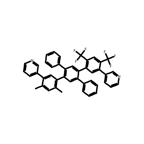 Cc1cc(C)c(-c2cc(-c3ccccc3)c(-c3cc(-c4cccnc4)c(C(F)(F)F)cc3C(F)(F)F)cc2-c2ccccc2)cc1-c1cccnc1